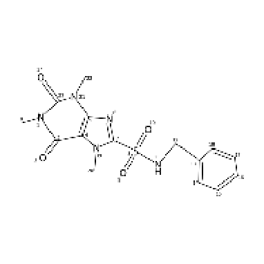 Cn1c(=O)c2c(nc(S(=O)(=O)NCc3ccccc3)n2C)n(C)c1=O